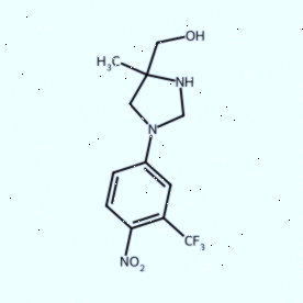 CC1(CO)CN(c2ccc([N+](=O)[O-])c(C(F)(F)F)c2)CN1